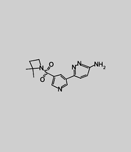 CC1(C)CCN1S(=O)(=O)c1cncc(-c2ccc(N)nn2)c1